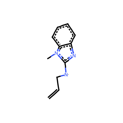 C=CC[N]c1nc2ccccc2n1C